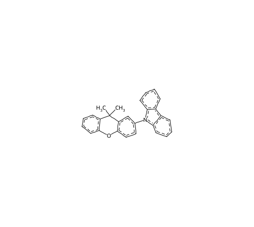 CC1(C)c2ccccc2Oc2ccc(-n3c4ccccc4c4ccccc43)cc21